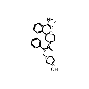 CN([C@H](CN1CC[C@H](O)C1)c1ccccc1)N1CCOC(c2ccccc2C(N)=O)C1